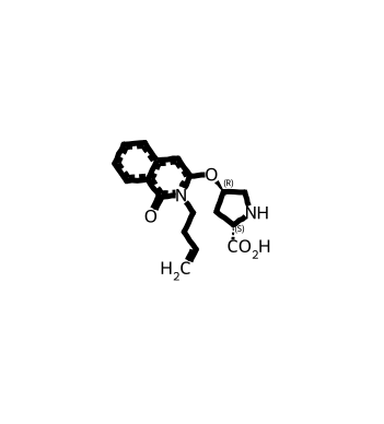 C=CCCn1c(O[C@H]2CN[C@H](C(=O)O)C2)cc2ccccc2c1=O